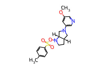 COc1cncc(N2C[C@@H]3CCN(OS(=O)(=O)c4ccc(C)cc4)[C@@H]3C2)c1